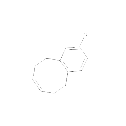 Nc1ccc2c(c1)CC/C=C\CC2